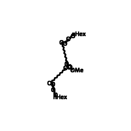 CCCCCCOCCOCCOC(=O)CCCCCCCCCCOc1ccc(OC)cc1OCCCCCCCCCCC(=O)OCCOCCOCCCCCC